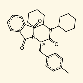 Cc1ccc(C[C@H](C(=O)N(C2CCCCC2)C2CCCCC2)N2C(=O)c3ccccc3C2=O)cc1